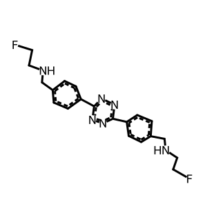 FCCNCc1ccc(-c2nnc(-c3ccc(CNCCF)cc3)nn2)cc1